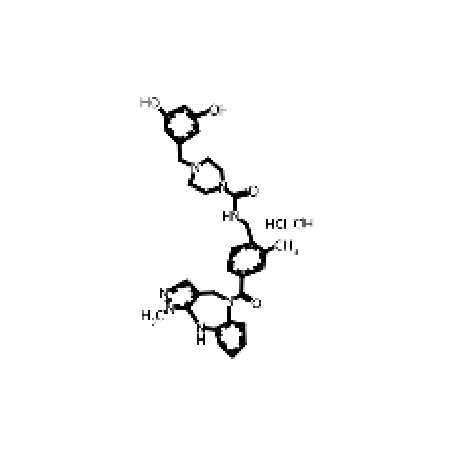 Cc1cc(C(=O)N2Cc3cnn(C)c3Nc3ccccc32)ccc1CNC(=O)N1CCN(Cc2cc(O)cc(O)c2)CC1.Cl.Cl